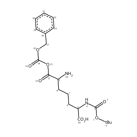 CC(C)(C)OC(=O)NC(CCCC(N)C(=O)OC(=O)OCc1ccccc1)C(=O)O